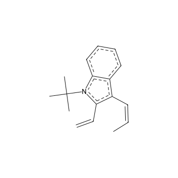 C=Cc1c(/C=C\C)c2ccccc2n1C(C)(C)C